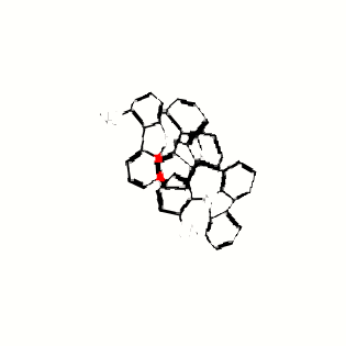 N#Cc1cccc(-c2ccccc2-n2c3ccccc3c3c(C#N)cccc32)c1-n1c2ccccc2c2cccc(-n3c4ccccc4c4ccccc43)c21